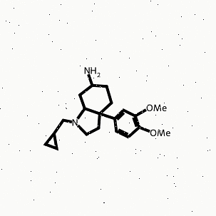 COc1ccc(C23CCC(N)CC2N(CC2CC2)CC3)cc1OC